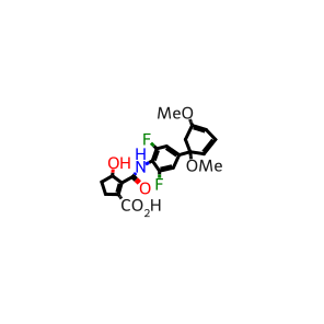 COC1=CC=CC(OC)(c2cc(F)c(NC(=O)C3=C(C(=O)O)CCC3O)c(F)c2)C1